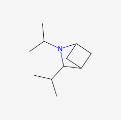 CC(C)C1C2CC(C2)N1C(C)C